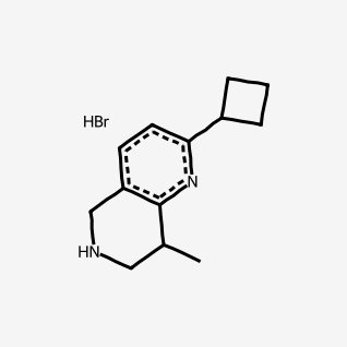 Br.CC1CNCc2ccc(C3CCC3)nc21